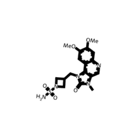 COc1cc2ncc3c(c2cc1OC)n(CC1CN(S(N)(=O)=O)C1)c(=O)n3C